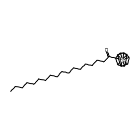 CCCCCCCCCCCCCCCCCC(=O)[C]12[CH]3[CH]4[CH]5[CH]1[Fe]45321678[CH]2[CH]1[CH]6[CH]7[CH]28